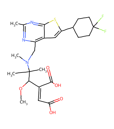 COC(C(=CC(=O)O)C(=O)O)C(C)(C)N(C)Cc1nc(C)nc2sc(C3CCC(F)(F)CC3)cc12